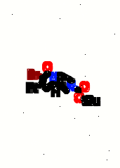 CCc1cc2n(c(=O)c1Br)CC1C[C@H]2CN(C(=O)OC(C)(C)C)C1